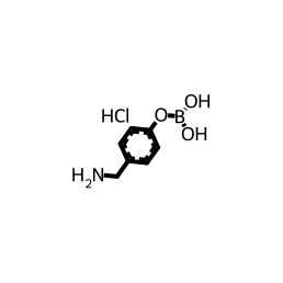 Cl.NCc1ccc(OB(O)O)cc1